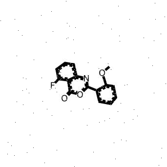 COc1ccccc1-c1nc2cccc(F)c2c(=O)o1